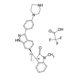 CN1C(=O)[C@@]2(C[C@H]2c2ccc3c(-c4ccc(N5CCNCC5)cc4)n[nH]c3c2)c2ccccc21.O=C(O)C(F)(F)F